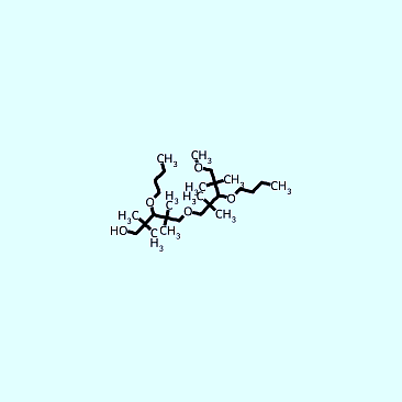 CCCCOC(C(C)(C)CO)C(C)(C)COCC(C)(C)C(OCCCC)C(C)(C)COC